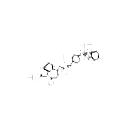 O=C(O)CN1C(=O)CCC(CC(=O)NCC2CCC(Nc3nc4ccccc4[nH]3)CC2)c2ccccc21